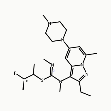 CCc1nn2c(C)cc(N3CCN(C)CC3)cc2c1N(C)/C(=N/C)SC(C)[C@@H](C)F